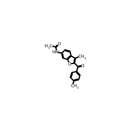 CC(=O)Nc1ccc2c(C)c(C(=O)c3ccc(C)cc3)oc2c1